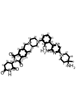 CC1(N)CCN(c2cnc(-c3cccc(N4CCN(Cc5cc6c(cc5F)C(=O)N(C5CCC(=O)NC5=O)C6=O)CC4)c3Cl)c(N)n2)CC1